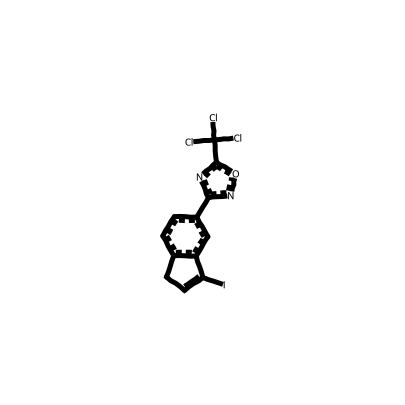 ClC(Cl)(Cl)c1nc(-c2ccc3c(c2)C(I)=CC3)no1